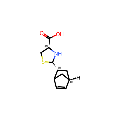 O=C(O)[C@@H]1CSC([C@@H]2C[C@@H]3C=CC2C3)N1